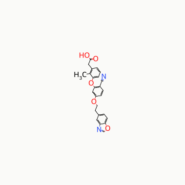 Cc1c(CC(=O)O)cccc1Oc1cc(OCCc2ccc3ocnc3c2)ccc1C#N